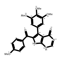 COc1ccc(C(=O)c2[nH]c3[nH]cnc(=O)c3c2-c2cc(OC)c(OC)c(OC)c2)cc1